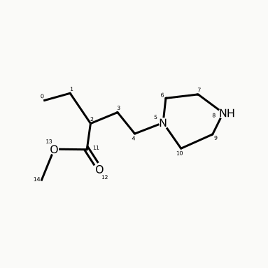 CCC(CCN1CCNCC1)C(=O)OC